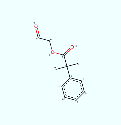 CC(C)(C(=O)OCC=O)c1ccccc1